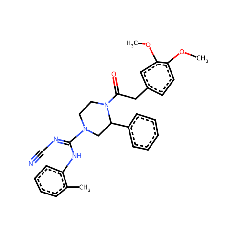 COc1ccc(CC(=O)N2CCN(/C(=N/C#N)Nc3ccccc3C)CC2c2ccccc2)cc1OC